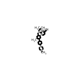 Cc1cc(CN(CC(C)(C)C)c2nccc(C#N)n2)ccc1-c1ccc(N2CCN(C)CC2)cc1